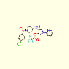 O=C(c1ccc(Cl)cc1)N1CCC(NC2CN(c3ccccn3)CC2OC(=O)C(F)(F)F)CC1